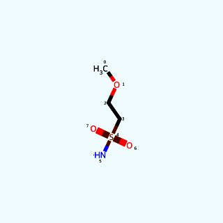 COCCS([NH])(=O)=O